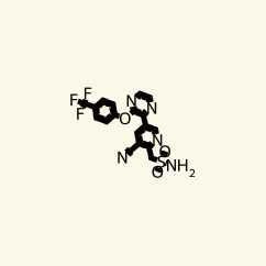 N#Cc1cc(-c2nccnc2Oc2ccc(C(F)(F)F)cc2)cnc1CS(N)(=O)=O